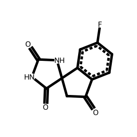 O=C1NC(=O)C2(CC(=O)c3ccc(F)cc32)N1